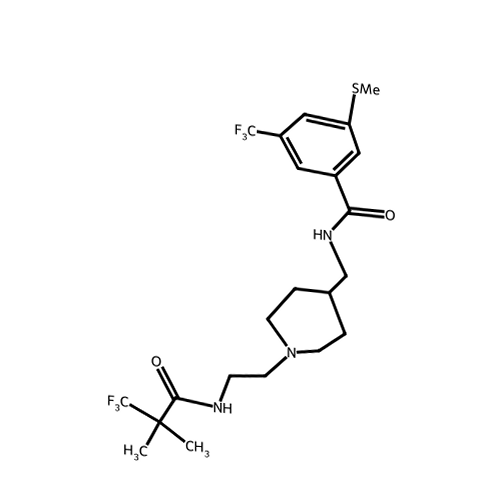 CSc1cc(C(=O)NCC2CCN(CCNC(=O)C(C)(C)C(F)(F)F)CC2)cc(C(F)(F)F)c1